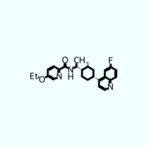 CCOc1ccc(C(=O)NC(C)[C@H]2CC[C@@H](c3ccnc4ccc(F)cc43)CC2)nc1